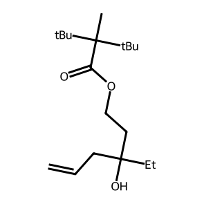 C=CCC(O)(CC)CCOC(=O)C(C)(C(C)(C)C)C(C)(C)C